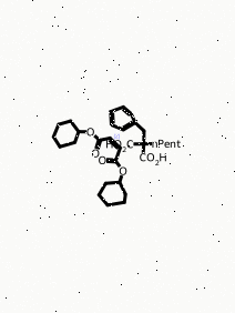 CCCCCC(Cc1ccccc1)(C(=O)O)C(=O)O.O=C(/C=C\C(=O)OC1CCCCC1)OC1CCCCC1